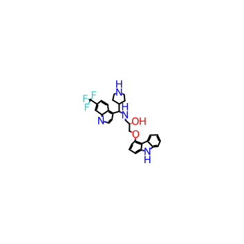 O[C@@H](CNC(c1ccnc2cc(C(F)(F)F)ccc12)C1CCNCC1)COc1cccc2[nH]c3ccccc3c12